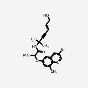 CSC(Oc1cc(C)c2ncc(Br)cc2c1)C(=O)NC(C)(C)C#C/C=C/CO